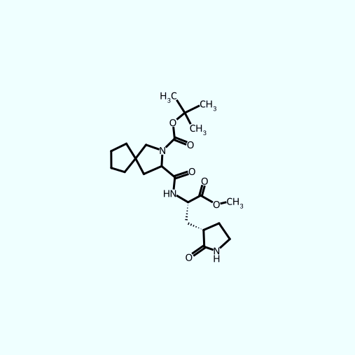 COC(=O)[C@H](C[C@@H]1CCNC1=O)NC(=O)C1CC2(CCCC2)CN1C(=O)OC(C)(C)C